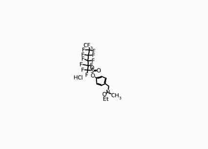 CCON(C)Cc1ccc(OS(=O)(=O)C(F)(F)C(F)(F)C(F)(F)C(F)(F)C(F)(F)C(F)(F)F)cc1.Cl